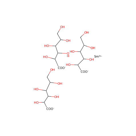 O=C([O-])C(O)C(O)C(O)C(O)CO.O=C([O-])C(O)C(O)C(O)C(O)CO.O=C([O-])C(O)C(O)C(O)C(O)CO.[Sm+3]